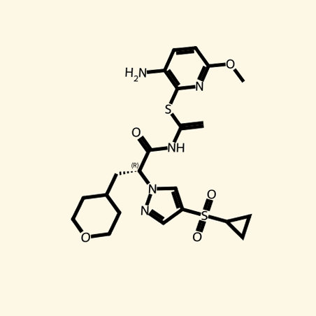 C=C(NC(=O)[C@@H](CC1CCOCC1)n1cc(S(=O)(=O)C2CC2)cn1)Sc1nc(OC)ccc1N